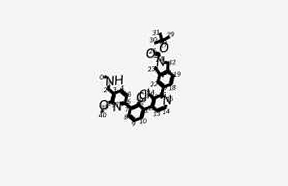 CNCc1ccc(-c2cccc(-c3ccnc(-c4ccc5c(c4)CN(C(=O)OC(C)(C)C)C5)c3Cl)c2Cl)nc1OC